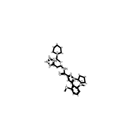 COc1cccc(OC)c1-c1cc(C(=O)N[C@@H](CCN2CCCCC2)Cc2nnn[nH]2)nn1C1CCCC1